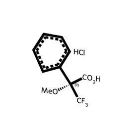 CO[C@@](C(=O)O)(c1ccccc1)C(F)(F)F.Cl